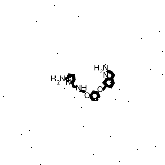 Nc1cccc(CNCCOc2cccc(OCc3ccc4ccc(N)nc4c3)c2)n1